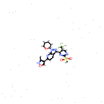 Cc1nocc1-c1ccc2c(-c3nc(S(C)(=O)=O)ncc3C(F)(F)F)nn(C3CCCCO3)c2n1